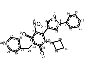 O=c1c([N+](=O)[O-])c(-c2cnn(-c3ccccc3)c2)n(C2CCC2)c(=O)n1Cc1ccncc1